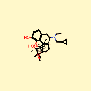 CCN(CC1CC1)C1Cc2ccc(O)c3c2[C@@]2(C)C(O3)[C@]3(OC)CC[C@@]12C[C@@H]3[C@](C)(O)C(C)(C)C